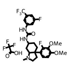 COc1ccc(C23CCC(NC(=O)Nc4cc(F)cc(C(F)(F)F)c4)CC2N(C)CC3)c(F)c1OC.O=C(O)C(F)(F)F